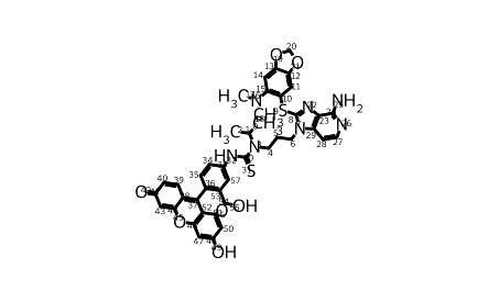 CC(C)N(CCCn1c(Sc2cc3c(cc2N(C)C)OCO3)nc2c(N)nccc21)C(=S)Nc1ccc(-c2c3ccc(=O)cc-3oc3cc(O)ccc23)c(C(=O)O)c1